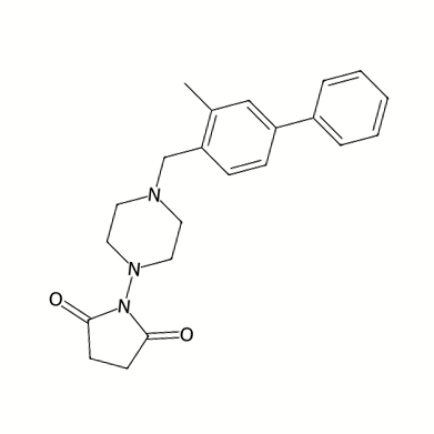 Cc1cc(-c2ccccc2)ccc1CN1CCN(N2C(=O)CCC2=O)CC1